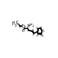 CCOC(=O)[C@@H](N)CCCc1ccccc1